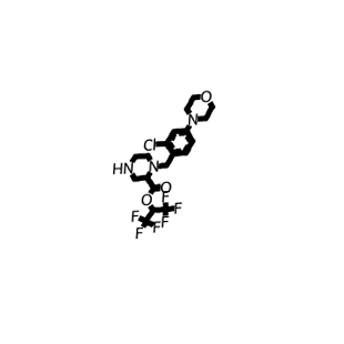 O=C(OC(C(F)(F)F)C(F)(F)F)C1CNCCN1Cc1ccc(N2CCOCC2)cc1Cl